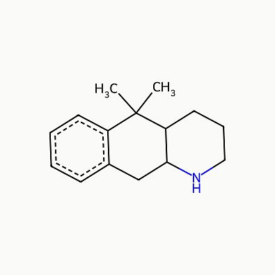 CC1(C)c2ccccc2CC2NCCCC21